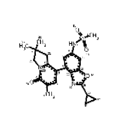 Cc1cc(-c2cc(NS(C)(=O)=O)cc3oc(C4CC4)nc23)c2n(c1=O)CC(C)(C)C2